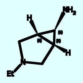 CCN1C[C@@H]2[C@@H](N)[C@@H]2C1